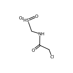 O=C(CCl)NC[SH](=O)=O